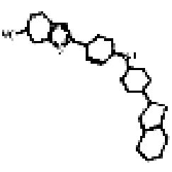 N#CC1CCc2cc(C3C=CC(NC4CCC(C5CC6CCCCC6S5)CC4)CC3)sc2C1